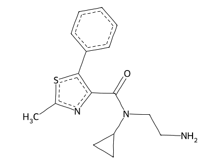 Cc1nc(C(=O)N(CCN)C2CC2)c(-c2ccccc2)s1